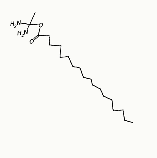 CCCCCCCCCCCCCCCCCC(=O)OC(C)(N)N